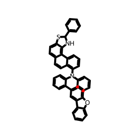 c1ccc(C2Nc3c(ccc4ccc5c(N(c6ccccc6)c6ccccc6-c6ccc7oc8ccccc8c7c6)cccc5c34)S2)cc1